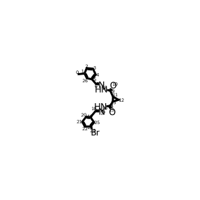 Cc1cccc(/C=N/NC(=O)C2CC2C(=O)N/N=C/c2cccc(Br)c2)c1